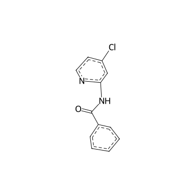 O=C(Nc1cc(Cl)ccn1)c1ccccc1